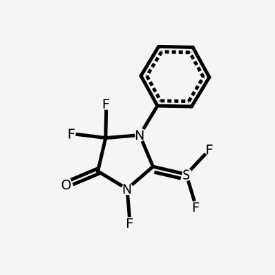 O=C1N(F)C(=S(F)F)N(c2ccccc2)C1(F)F